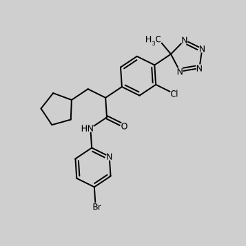 CC1(c2ccc(C(CC3CCCC3)C(=O)Nc3ccc(Br)cn3)cc2Cl)N=NN=N1